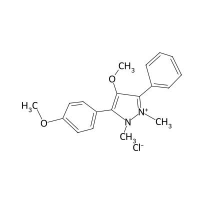 COc1ccc(-c2c(OC)c(-c3ccccc3)[n+](C)n2C)cc1.[Cl-]